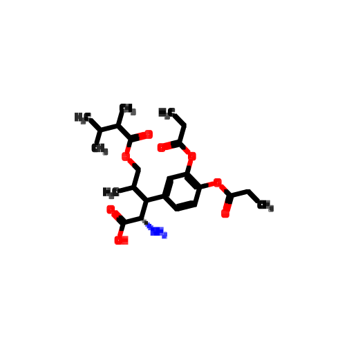 CCC(=O)Oc1ccc(C(C(C)COC(=O)C(C)C(C)C)[C@H](N)C(=O)O)cc1OC(=O)CC